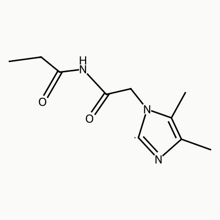 CCC(=O)NC(=O)Cn1[c]nc(C)c1C